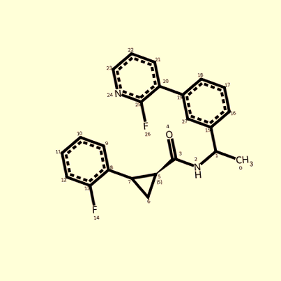 CC(NC(=O)[C@H]1CC1c1ccccc1F)c1cccc(-c2cccnc2F)c1